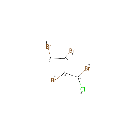 ClC(Br)C(Br)C(Br)CBr